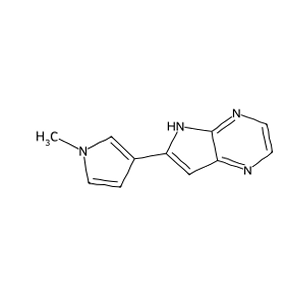 Cn1ccc(-c2cc3nccnc3[nH]2)c1